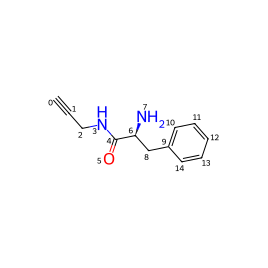 C#CCNC(=O)[C@@H](N)Cc1ccccc1